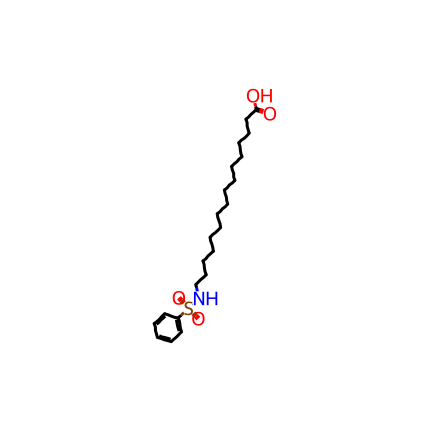 O=C(O)CCCCCCCCCCCCCCCNS(=O)(=O)c1ccccc1